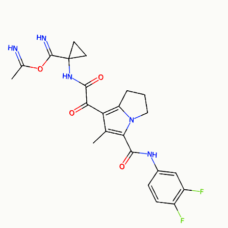 CC(=N)OC(=N)C1(NC(=O)C(=O)c2c(C)c(C(=O)Nc3ccc(F)c(F)c3)n3c2CCC3)CC1